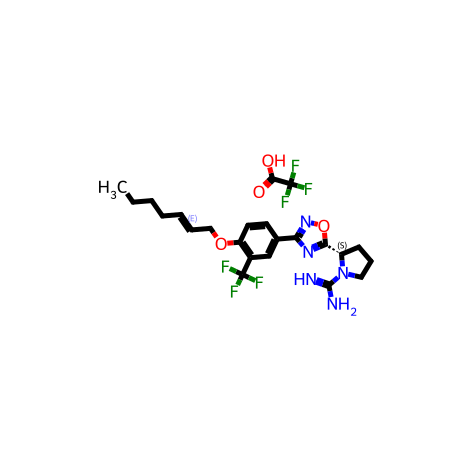 CCCC/C=C/COc1ccc(-c2noc([C@@H]3CCCN3C(=N)N)n2)cc1C(F)(F)F.O=C(O)C(F)(F)F